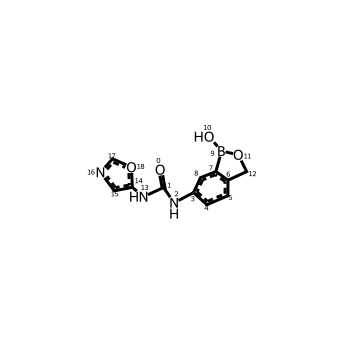 O=C(Nc1ccc2c(c1)B(O)OC2)Nc1cnco1